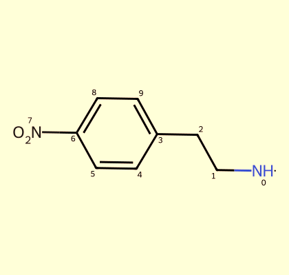 [NH]CCc1ccc([N+](=O)[O-])cc1